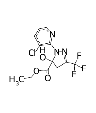 CCOC(=O)C1(O)CC(C(F)(F)F)=NN1c1ncccc1Cl